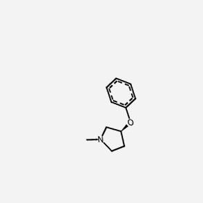 CN1CC[C@H](Oc2ccccc2)C1